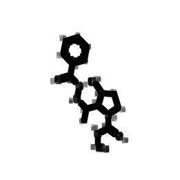 CC(OOC(=O)c1ccccc1)C1C(Cl)CCN1C(=O)OC(C)(C)C